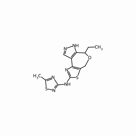 CCC1OCc2sc(Nc3nsc(C)n3)nc2-c2cn[nH]c21